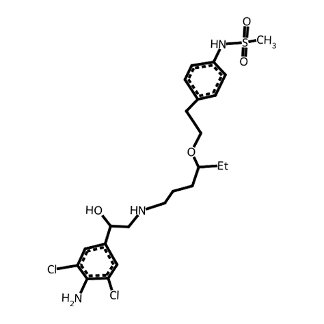 CCC(CCCNCC(O)c1cc(Cl)c(N)c(Cl)c1)OCCc1ccc(NS(C)(=O)=O)cc1